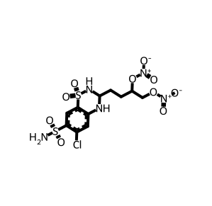 NS(=O)(=O)c1cc2c(cc1Cl)NC(CCC(CO[N+](=O)[O-])O[N+](=O)[O-])NS2(=O)=O